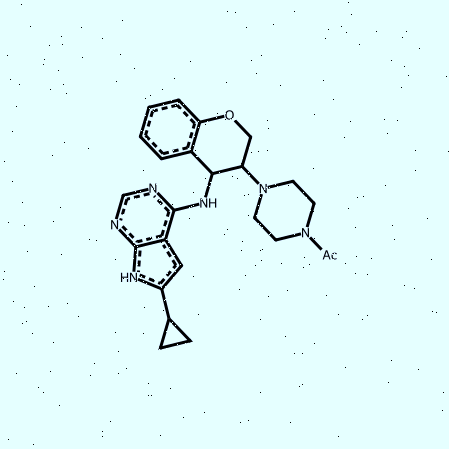 CC(=O)N1CCN(C2COc3ccccc3C2Nc2ncnc3[nH]c(C4CC4)cc23)CC1